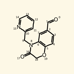 O=Cc1ccc2c(c1)N(Cc1ccccn1)C(=O)CO2